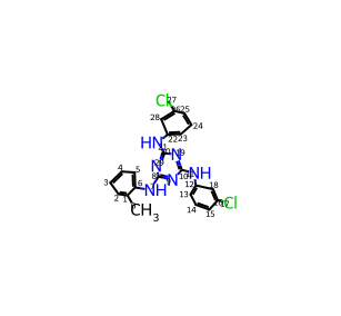 Cc1ccccc1Nc1nc(Nc2cccc(Cl)c2)nc(Nc2cccc(Cl)c2)n1